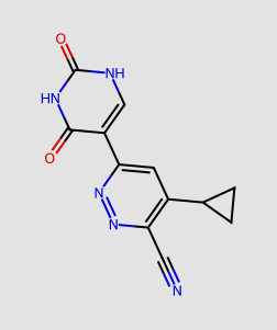 N#Cc1nnc(-c2c[nH]c(=O)[nH]c2=O)cc1C1CC1